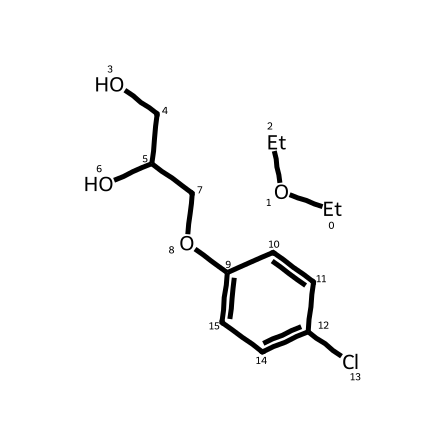 CCOCC.OCC(O)COc1ccc(Cl)cc1